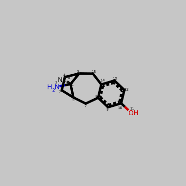 N#CC1(N)C2CCC1Cc1cc(O)ccc1C2